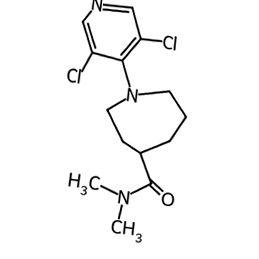 CN(C)C(=O)C1CCCN(c2c(Cl)cncc2Cl)CC1